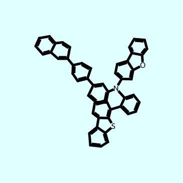 c1cc(-c2ccc(-c3ccc4ccccc4c3)cc2)cc(N(c2ccc3c(c2)oc2ccccc23)c2ccccc2-c2cccc3c2sc2ccccc23)c1